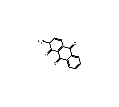 NC1C=CC2=C(C(=O)c3ccccc3C2=O)C1=O